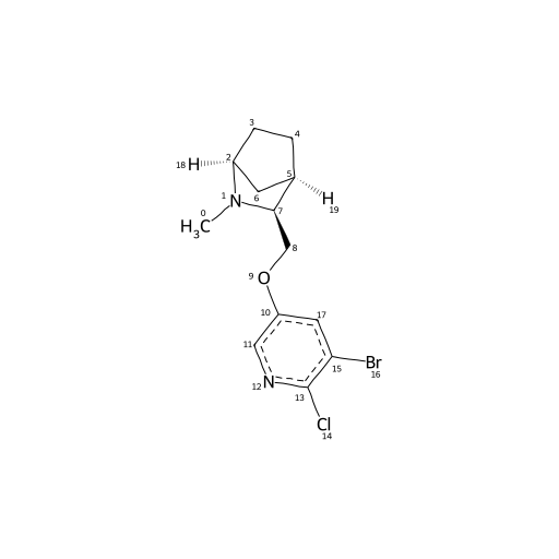 CN1[C@H]2CC[C@H](C2)[C@H]1COc1cnc(Cl)c(Br)c1